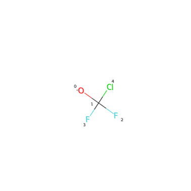 [O]C(F)(F)Cl